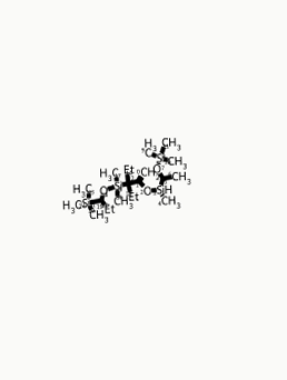 C=C(O[SiH](C)C(C)O[Si](C)(C)C)C(CC)(CC)[Si](C)(C)OC(CC)[Si](C)(C)C